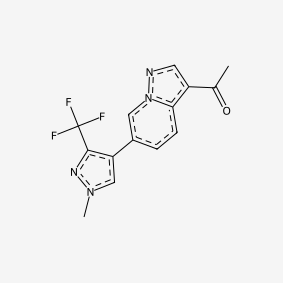 CC(=O)c1cnn2cc(-c3cn(C)nc3C(F)(F)F)ccc12